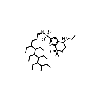 CCN[C@H]1C[C@H](C)S(=O)(=O)c2sc(S(=O)(=O)/N=C\CCC(CC)C(CC)C(CC)C(CC)C(CC)C(C)CC)cc21